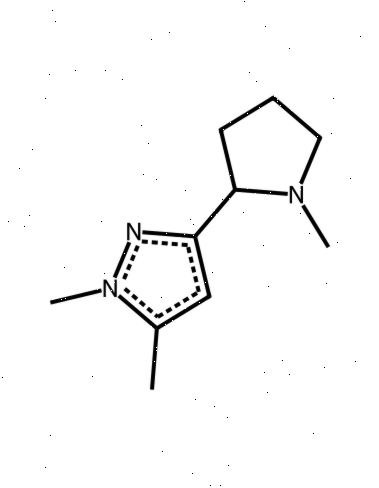 Cc1cc(C2CCCN2C)nn1C